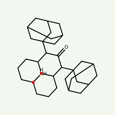 O=C(C(C1CCCCN1)C12CC3CC(CC(C3)C1)C2)C(C1CCCCN1)C12CC3CC(CC(C3)C1)C2